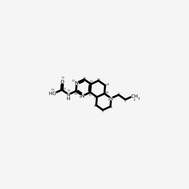 CCCN1CCCC2c3nc(NC(=O)O)ncc3CCC21